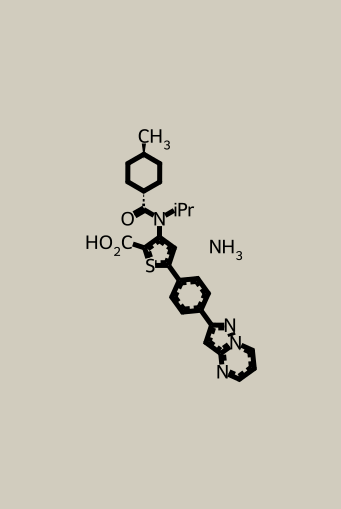 CC(C)N(c1cc(-c2ccc(-c3cc4ncccn4n3)cc2)sc1C(=O)O)C(=O)[C@H]1CC[C@H](C)CC1.N